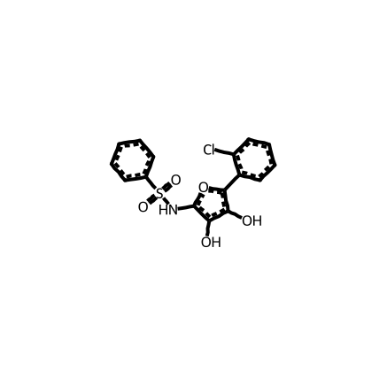 O=S(=O)(Nc1oc(-c2ccccc2Cl)c(O)c1O)c1ccccc1